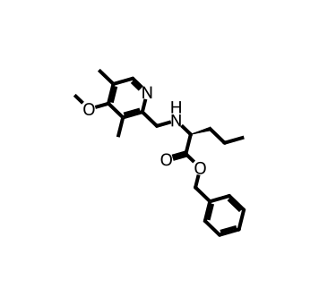 CCC[C@H](NCc1ncc(C)c(OC)c1C)C(=O)OCc1ccccc1